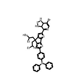 CCCCC(CC)CC1(CC(CC)CCCC)c2cc(C3=NC=C(Br)C4NSNC34)sc2-c2sc(-c3ccc(N(c4ccccc4)c4ccccc4)cc3)cc21